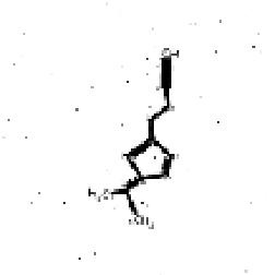 C#CCCC1=CC(=C(C)C)C=C1